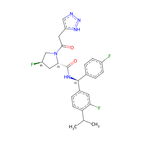 CC(C)c1ccc([C@@H](NC(=O)[C@@H]2C[C@@H](F)CN2C(=O)Cc2cnn[nH]2)c2ccc(F)cc2)cc1F